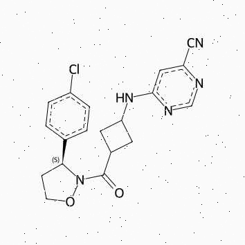 N#Cc1cc(NC2CC(C(=O)N3OCC[C@H]3c3ccc(Cl)cc3)C2)ncn1